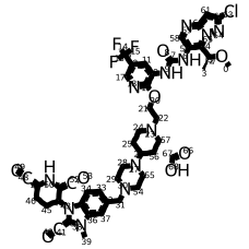 CO[C@@H](C)c1c(NC(=O)Nc2cc(C(F)(F)F)cnc2OCCN2CCC(N3CCN(Cc4ccc5c(c4)N(C)C(=C=O)N5C4CCC(=C=O)NC4=C=O)CC3)CC2)cnc2cc(Cl)nn12.O=CO